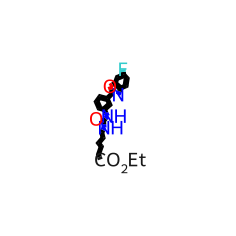 CCOC(=O)CCCCCNC(=O)Nc1cccc(-c2nc3ccc(F)cc3o2)c1